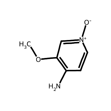 COc1c[n+]([O-])ccc1N